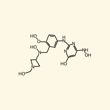 OCN1CC(N(O)Cc2cc(Nc3nc(O)cc(NO)n3)ccc2OO)C1